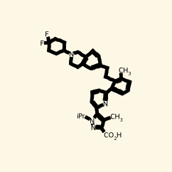 Cc1cccc(-c2cccc(-c3c(C)c(C(=O)O)nn3C(C)C)n2)c1CCc1ccc2c(c1)CCN(C1CCC(F)(F)CC1)C2